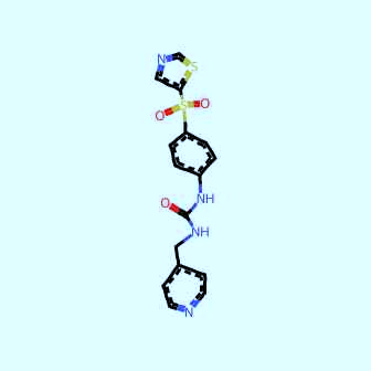 O=C(NCc1ccncc1)Nc1ccc(S(=O)(=O)c2cncs2)cc1